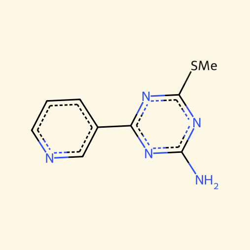 CSc1nc(N)nc(-c2cccnc2)n1